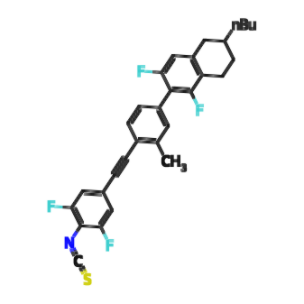 CCCCC1CCc2c(cc(F)c(-c3ccc(C#Cc4cc(F)c(N=C=S)c(F)c4)c(C)c3)c2F)C1